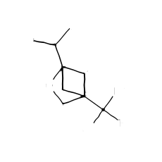 CC(C)C12CC(C(F)(F)F)(CO1)C2